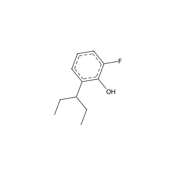 CCC(CC)c1cccc(F)c1O